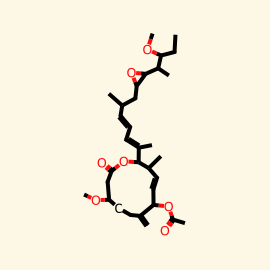 C=C1CCC(OC)CC(=O)OC(/C(C)=C/C=C/C(C)CC2OC2C(C)C(CC)OC)C(C)/C=C/C1OC(C)=O